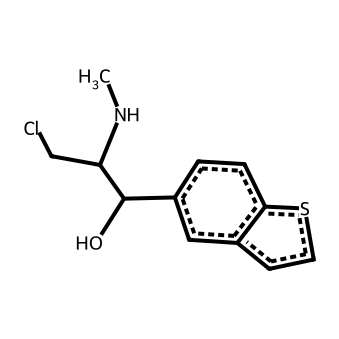 CNC(CCl)C(O)c1ccc2sccc2c1